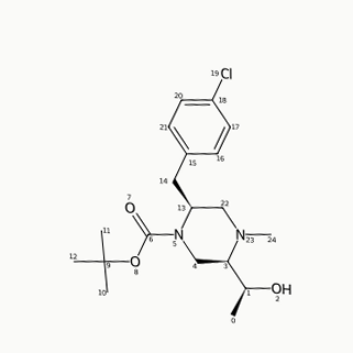 C[C@H](O)[C@H]1CN(C(=O)OC(C)(C)C)[C@@H](Cc2ccc(Cl)cc2)CN1C